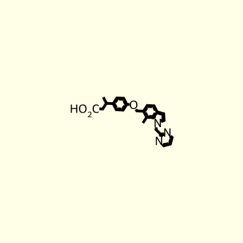 Cc1c(COc2ccc(C(C)CC(=O)O)cc2)ccc2ccn(Cc3ncccn3)c12